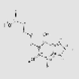 C[C@H](O)CCCCn1c(=O)c2nn(C)nc2n(C)c1=O